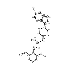 COc1cccc(C=O)c1OCC(O)CN1CCC(c2noc3cc(F)ccc23)CC1